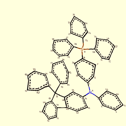 c1ccc(N(c2ccc(S(c3ccccc3)(c3ccccc3)c3ccccc3)cc2)c2ccc3c(c2)C(c2ccccc2)(c2ccccc2)c2ccccc2-3)cc1